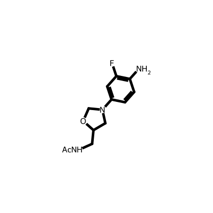 CC(=O)NCC1CN(c2ccc(N)c(F)c2)CO1